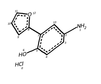 Cl.Nc1ccc(O)c(-c2ccco2)c1